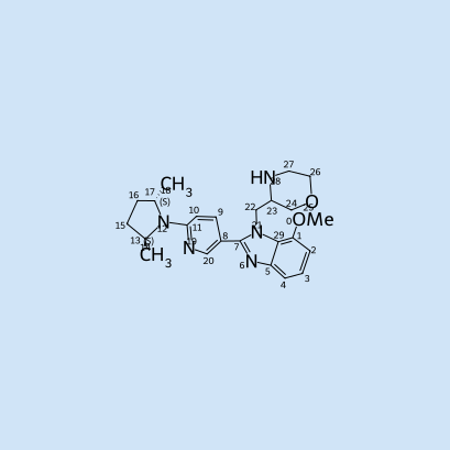 COc1cccc2nc(-c3ccc(N4[C@@H](C)CC[C@@H]4C)nc3)n(CC3COCCN3)c12